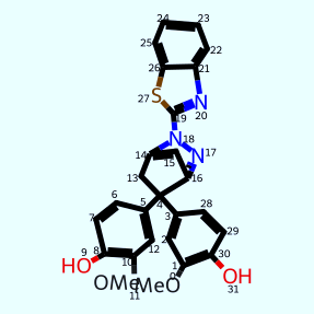 COc1cc(C2(c3ccc(O)c(OC)c3)Cc3cc2nn3-c2nc3ccccc3s2)ccc1O